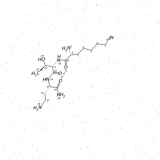 CC(C)CCCCC[C@@H](N)C(=O)N[C@H](C(=O)N[C@@H](CCN)C(N)=O)[C@@H](C)O